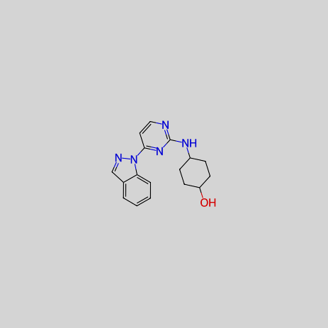 OC1CCC(Nc2nccc(-n3ncc4ccccc43)n2)CC1